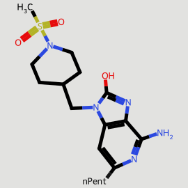 CCCCCc1cc2c(nc(O)n2CC2CCN(S(C)(=O)=O)CC2)c(N)n1